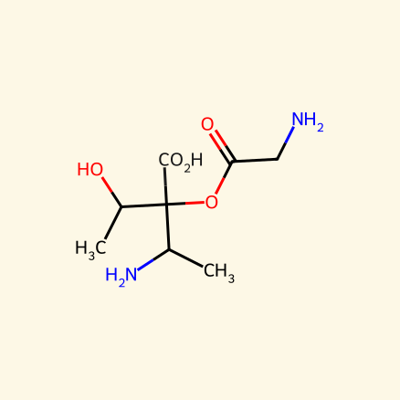 CC(N)C(OC(=O)CN)(C(=O)O)C(C)O